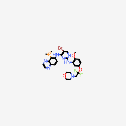 COc1ccc(OC(F)(F)CN2CCOCC2)cc1Nc1ncc(Br)c(Nc2ccc3nccnc3c2P(C)C)n1